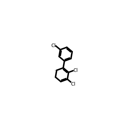 ClC1=CC[CH]C(c2cccc(Cl)c2)=C1Cl